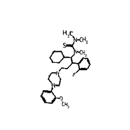 COc1ccccc1N1CCN(CCC(c2ccccc2F)C(C2CCCCC2)N(C)C(=S)N(C)C)CC1